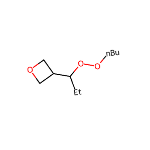 CCCCOOC(CC)C1COC1